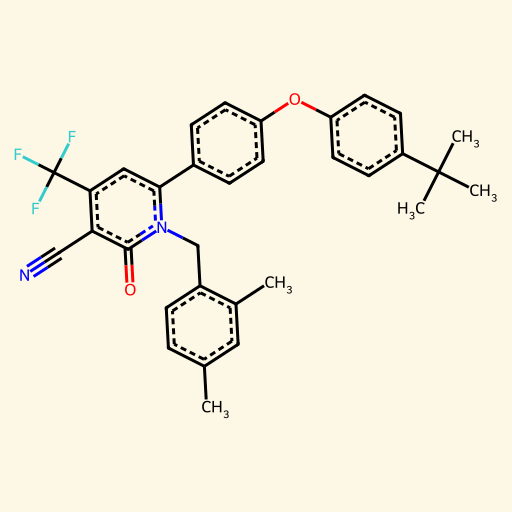 Cc1ccc(Cn2c(-c3ccc(Oc4ccc(C(C)(C)C)cc4)cc3)cc(C(F)(F)F)c(C#N)c2=O)c(C)c1